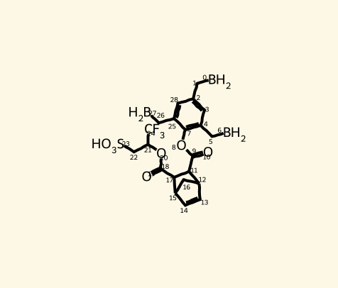 BCc1cc(CB)c(OC(=O)C2C3C=CC(C3)C2C(=O)OC(CS(=O)(=O)O)C(F)(F)F)c(CB)c1